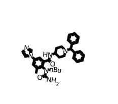 CCCCN(C(N)=O)c1c(C)cc(-n2ccnc2)cc1C(=O)NC1CCN(C(c2ccccc2)c2ccccc2)CC1